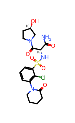 NC(=O)[C@H](NS(=O)(=O)c1cccc(N2CCCCC2=O)c1Cl)C(=O)N1CC[C@@H](O)C1